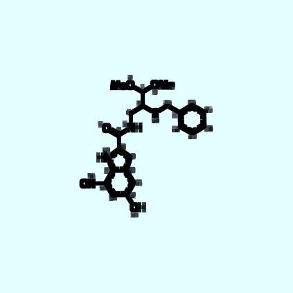 COC(OC)C(CNC(=O)c1cc2cc(O)cc(N=O)c2[nH]1)SCc1ccccc1